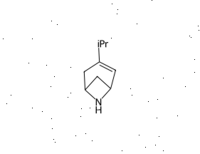 CC(C)C1=CC2CC(C1)N2